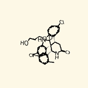 Cc1ccc(F)cc1[C@H]1NC(=O)C[C@@H](c2cc(Cl)ccc2OCCCO)[C@]12C(=O)Nc1cc(Cl)ccc12